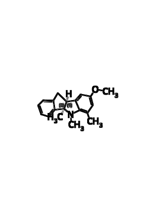 COc1cc(C)c2c(c1)[C@@H]1Cc3ccccc3[C@]1(C)N2C